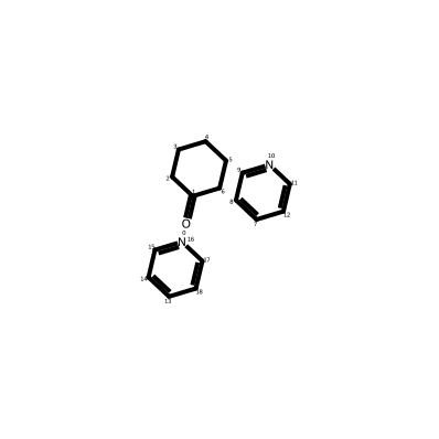 O=C1CCCCC1.c1ccncc1.c1ccncc1